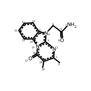 Cc1nc2n(CC(N)=O)c3ccccc3n2c(=O)c1C